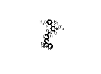 Cc1cccc([C@@H]2C[C@H](NC(=O)c3cnc4c(c3)C[C@@]3(C4)C(=O)Nc4ncccc43)C(=O)N(CC(F)(F)F)[C@@H]2C)c1F